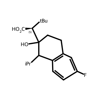 CC(C)C1c2ccc(F)cc2CCC1(O)[C@@H](C(=O)O)C(C)(C)C